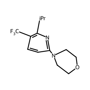 CC(C)c1nc(N2CCOCC2)ccc1C(F)(F)F